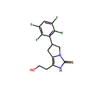 OCCc1[nH]c(=S)n2c1CC(c1c(F)c(F)cc(F)c1F)C2